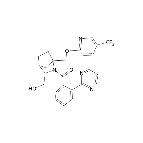 O=C(c1ccccc1-c1ncccn1)N1C(CO)C2CCC1(COc1ccc(C(F)(F)F)cn1)C2